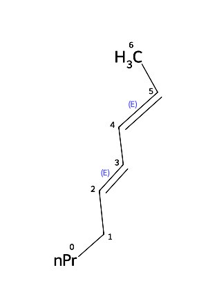 [CH2]CCC/C=C/C=C/C